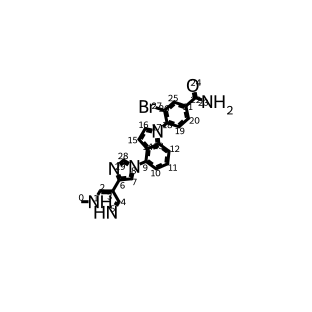 CN/C=C(\C=N)c1cn(-c2cccc3c2ccn3-c2ccc(C(N)=O)cc2Br)cn1